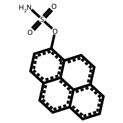 NS(=O)(=O)Oc1ccc2ccc3cccc4ccc1c2c34